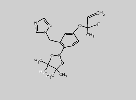 C=CC(C)(F)Oc1ccc(B2OC(C)(C)C(C)(C)O2)c(Cn2cncn2)c1